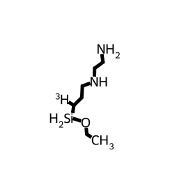 [3H]C(CCNCCN)[SiH2]OCC